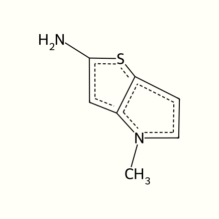 Cn1ccc2sc(N)cc21